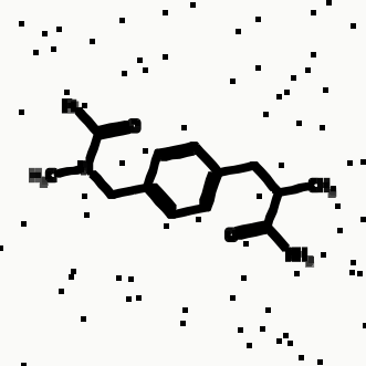 CCC(=O)N(C)Cc1ccc(CC(C)C(N)=O)cc1